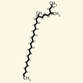 CCCCCCCCCCCCCCCCCCCCC(C)CCCC(C)CCC